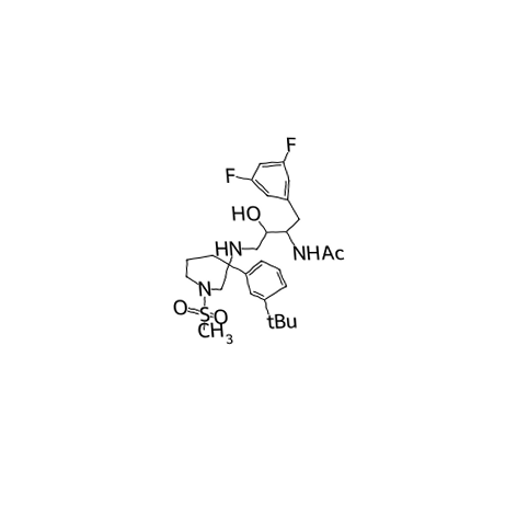 CC(=O)NC(Cc1cc(F)cc(F)c1)C(O)CNC1(c2cccc(C(C)(C)C)c2)CCCN(S(C)(=O)=O)C1